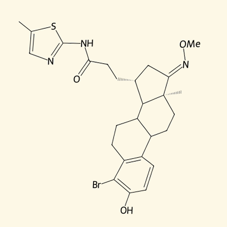 CO/N=C1\C[C@@H](CCC(=O)Nc2ncc(C)s2)C2C3CCc4c(ccc(O)c4Br)C3CC[C@]12C